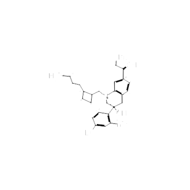 C=C(CC(C)(C)C)c1ccc2c(c1)N(CC1CCC1CCCP)CC(C)(c1ccc(CC)cc1CCC)C2